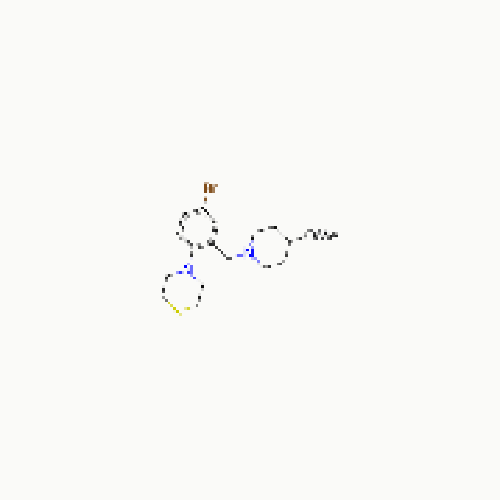 COC1CCN(Cc2cc(Br)ccc2N2CCSCC2)CC1